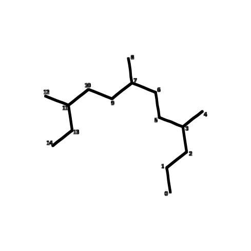 CCCC(C)CCC(C)CCC(C)CC